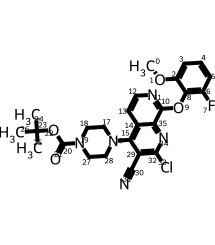 COc1cccc(F)c1Oc1nccc2c(N3CCN(C(=O)OC(C)(C)C)CC3)c(C#N)c(Cl)nc12